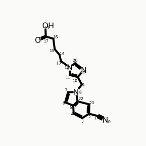 N#Cc1ccc2ccn(Cc3cn(CCCCC(=O)O)cn3)c2c1